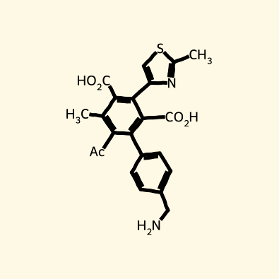 CC(=O)c1c(C)c(C(=O)O)c(-c2csc(C)n2)c(C(=O)O)c1-c1ccc(CN)cc1